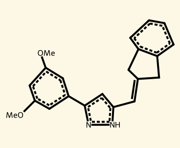 COc1cc(OC)cc(-c2cc(C=C3Cc4ccccc4C3)[nH]n2)c1